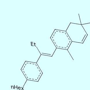 CCCCCCc1ccc(/C(=C/c2ccc3c(c2C)C=CC(C)(C)C3)CC)cc1